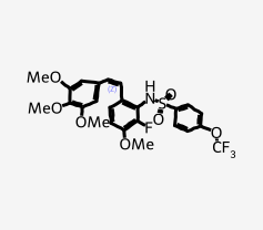 COc1ccc(/C=C\c2cc(OC)c(OC)c(OC)c2)c(NS(=O)(=O)c2ccc(OC(F)(F)F)cc2)c1F